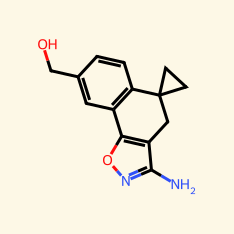 Nc1noc2c1CC1(CC1)c1ccc(CO)cc1-2